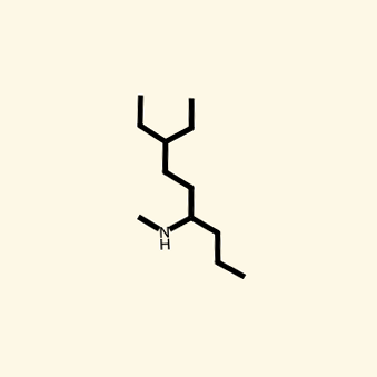 CCCC(CCC(CC)CC)NC